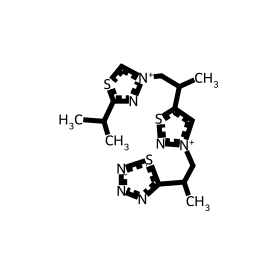 CC(C)c1n[n+](CC(C)c2c[n+](CC(C)c3nnns3)ns2)cs1